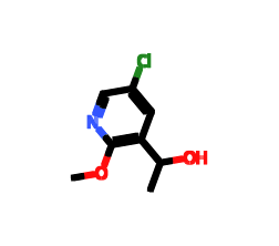 COc1ncc(Cl)cc1C(C)O